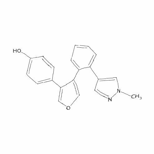 Cn1cc(-c2ccccc2-c2cocc2-c2ccc(O)cc2)cn1